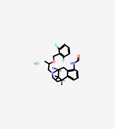 CC(CN1CC[C@@]2(C)c3cccc(NC=O)c3C[C@@H]1C2(C)C)OCc1c(F)cccc1F.Cl